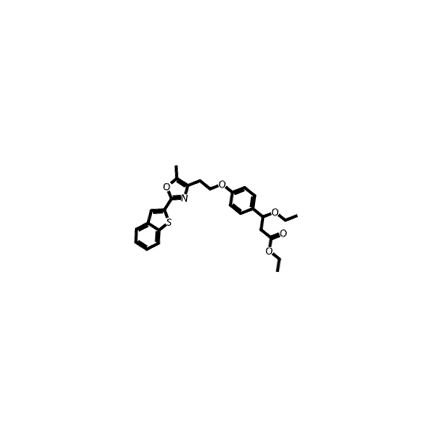 CCOC(=O)CC(OCC)c1ccc(OCCc2nc(-c3cc4ccccc4s3)oc2C)cc1